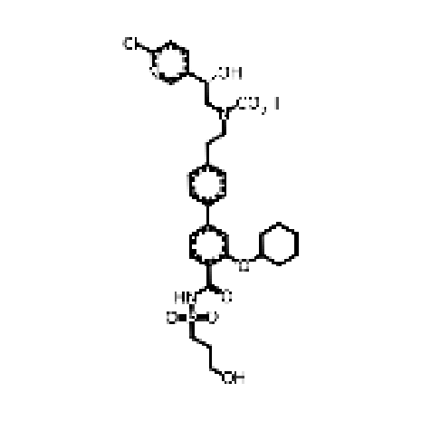 O=C(NS(=O)(=O)CCCO)c1ccc(-c2ccc(CCN(C[C@@H](O)c3ccc(Cl)nc3)C(=O)O)cc2)cc1OC1CCCCC1